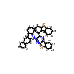 c1ccc2cc3c(cc2c1)c1ccccc1n3-c1nc2sc3ccccc3c2nc1-c1cccc2sc3ccccc3c12